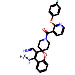 CNC1=C(C=N)C2(CCN(C(=O)c3cccnc3Oc3ccc(F)cc3)CC2)Oc2ccccc21